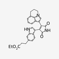 CCOC(=O)CCc1ccc2c(C3=C(c4cn5c6c(cccc46)CCC5)C(=O)NC3=O)c[nH]c2c1